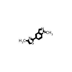 Cc1csc(-c2ccc3c(cnn3C)c2)n1